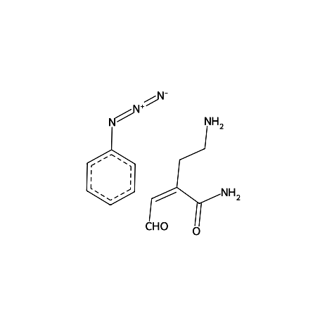 NCCC(=CC=O)C(N)=O.[N-]=[N+]=Nc1ccccc1